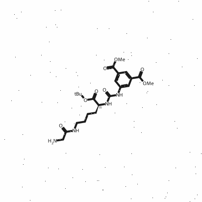 COC(=O)c1cc(NC(=O)N[C@@H](CCCCNC(=O)CN)C(=O)OC(C)(C)C)cc(C(=O)OC)c1